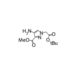 COC(=O)c1nn(CC(=O)OC(C)(C)C)cc1N